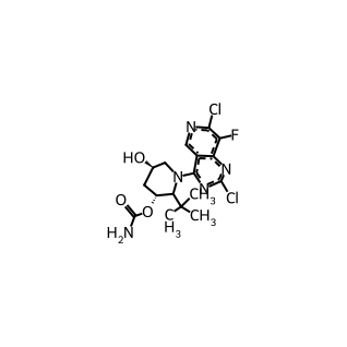 CC(C)(C)C1[C@H](OC(N)=O)C[C@@H](O)CN1c1nc(Cl)nc2c(F)c(Cl)ncc12